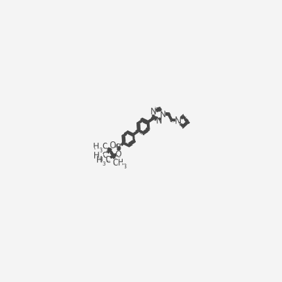 CC1(C)OB(c2ccc(-c3ccc(-c4ncn(CCN5CCC5)n4)cc3)cc2)OC1(C)C